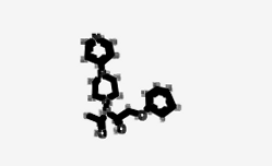 CC(=O)N(C(=O)COc1ccccc1)N1CCN(c2ccncc2)CC1